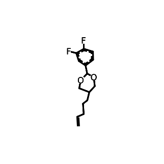 C=CCCCC1COC(c2ccc(F)c(F)c2)OC1